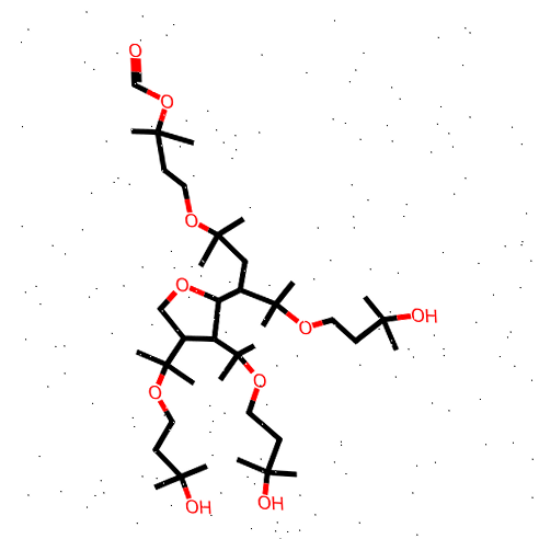 CC(C)(O)CCOC(C)(C)C(CC(C)(C)OCCC(C)(C)OC=O)C1OCC(C(C)(C)OCCC(C)(C)O)C1C(C)(C)OCCC(C)(C)O